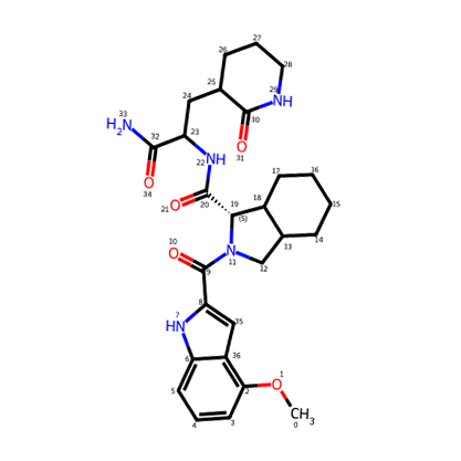 COc1cccc2[nH]c(C(=O)N3CC4CCCCC4[C@H]3C(=O)NC(CC3CCCNC3=O)C(N)=O)cc12